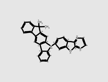 CC1(C)c2ccccc2-c2cc3c4ccccc4n(-c4ccc5c(c4)oc4nccnc45)c3cc21